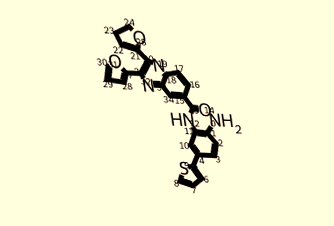 Nc1ccc(-c2cccs2)cc1NC(=O)c1ccc2nc(C3=CCCO3)c(-c3ccco3)nc2c1